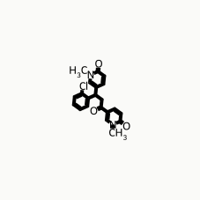 Cn1cc(C(=O)CC(c2ccc(=O)n(C)c2)c2ccccc2Cl)ccc1=O